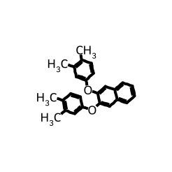 Cc1ccc(Oc2cc3ccccc3cc2Oc2ccc(C)c(C)c2)cc1C